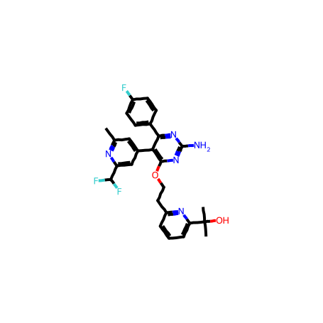 Cc1cc(-c2c(OCCc3cccc(C(C)(C)O)n3)nc(N)nc2-c2ccc(F)cc2)cc(C(F)F)n1